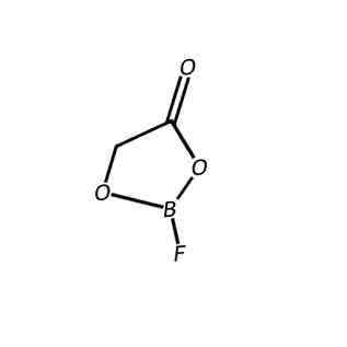 O=C1COB(F)O1